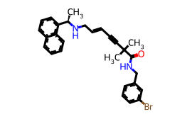 C[C@@H](NC/C=C/C#CC(C)(C)C(=O)NCc1cccc(Br)c1)c1cccc2ccccc12